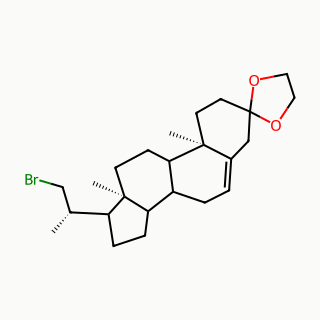 C[C@H](CBr)C1CCC2C3CC=C4CC5(CC[C@]4(C)C3CC[C@@]21C)OCCO5